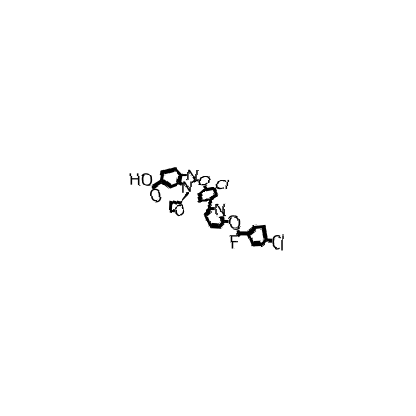 O=C(O)c1ccc2nc(Oc3ccc(-c4cccc(OC(F)c5ccc(Cl)cc5)n4)cc3Cl)n(C[C@@H]3CCO3)c2c1